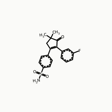 CC1(C)CC(c2ccc(S(N)(=O)=O)cc2)=C(c2cccc(F)c2)C1=O